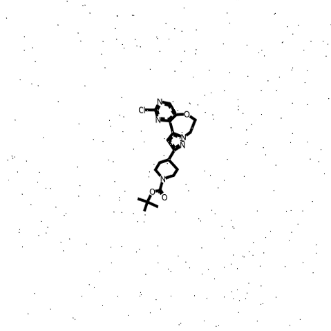 CC(C)(C)OC(=O)N1CCC(c2cc3n(n2)CCOc2cnc(Cl)nc2-3)CC1